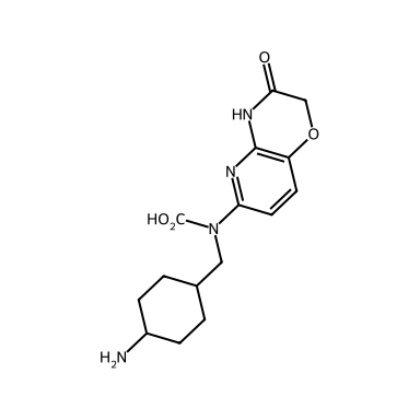 NC1CCC(CN(C(=O)O)c2ccc3c(n2)NC(=O)CO3)CC1